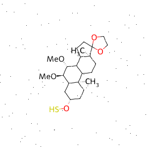 CO[C@@H]1C2C(CC[C@@]3(C)C2CCC32OCCO2)[C@@]2(C)CC[C@H](OS)CC2[C@H]1OC